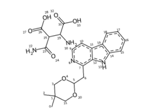 CC1(C)COC(Cc2nccc3c2[nH]c2ccccc23)OC1.NC(=O)C(C(=O)O)C(N)C(=O)O